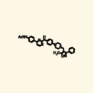 CC(=O)Nc1ccc(-c2ccnc(Nc3ccc(N4CCN(Cc5c(-c6ccccc6)noc5C)CC4)cc3)n2)cc1